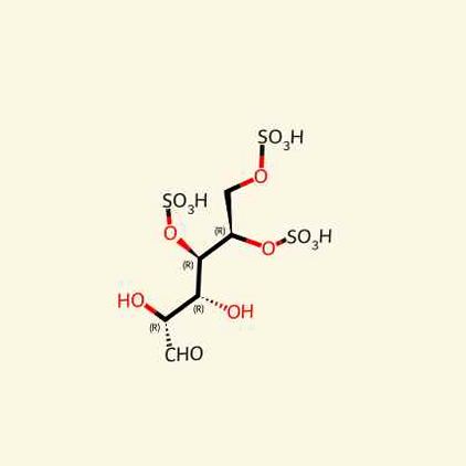 O=C[C@H](O)[C@@H](O)[C@@H](OS(=O)(=O)O)[C@@H](COS(=O)(=O)O)OS(=O)(=O)O